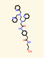 O=C(Cc1ccc(NC(=O)CN(CCN(Cc2ccccn2)Cc2ccccn2)Cc2ccccn2)cc1)NCCCO